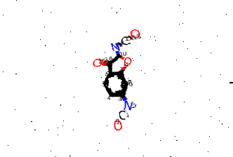 O=C=Nc1ccc2c(c1)OC(N=C=O)C2=O